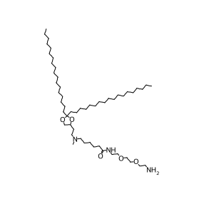 CCCCCCCCCCCCCCCCCCC1(CCCCCCCCCCCCCCCCCC)OCC(CCN(C)CCCCCC(=O)NCCOCCOCCN)O1